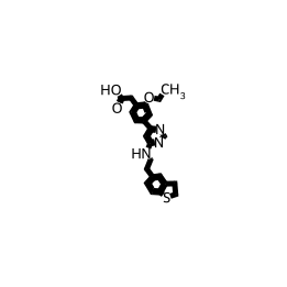 CCOc1cc(-c2cc(NCCc3ccc4c(c3)CCS4)ncn2)ccc1CC(=O)O